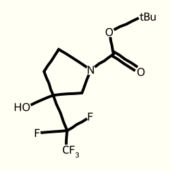 CC(C)(C)OC(=O)N1CCC(O)(C(F)(F)C(F)(F)F)C1